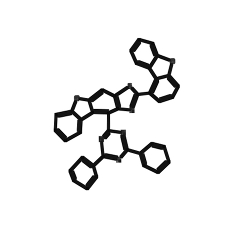 c1ccc(-c2nc(-c3ccccc3)nc(-c3c4nc(-c5cccc6oc7ccccc7c56)sc4cc4oc5ccccc5c34)n2)cc1